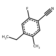 CCc1cc(F)c(C#N)cc1C